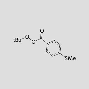 CSc1ccc(C(=O)OOC(C)(C)C)cc1